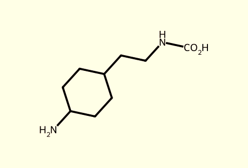 NC1CCC(CCNC(=O)O)CC1